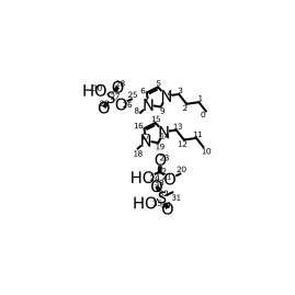 CCCCN1C=CN(C)C1.CCCCN1C=CN(C)C1.COC(=O)O.COS(=O)(=O)O.CS(=O)(=O)O